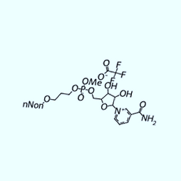 CCCCCCCCCOCCCOP(=O)(OC)OCC1OC([n+]2cccc(C(N)=O)c2)C(O)C1O.O=C([O-])C(F)(F)F